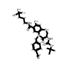 CC(C)(C)OC(=O)N[C@H]1CSc2cc(F)c(C(=O)NCCCC(F)(F)F)cc2N(Cc2ccc(C#N)cc2)C1=O